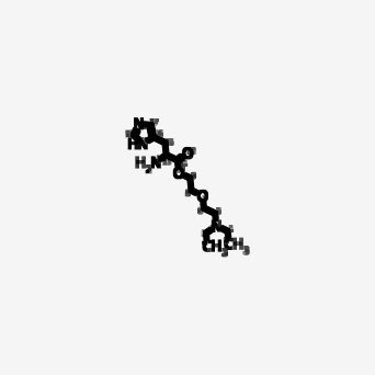 CCN(CC)CCOCCOC(=O)C(N)Cc1cnc[nH]1